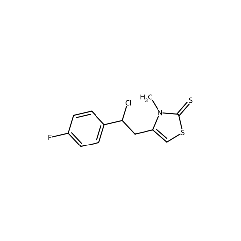 Cn1c(CC(Cl)c2ccc(F)cc2)csc1=S